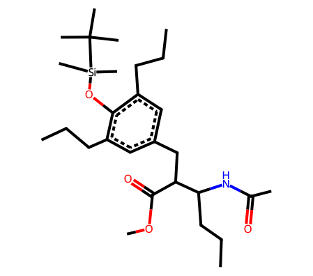 CCCc1cc(CC(C(=O)OC)C(CCC)NC(C)=O)cc(CCC)c1O[Si](C)(C)C(C)(C)C